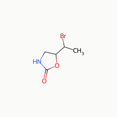 CC(Br)C1CNC(=O)O1